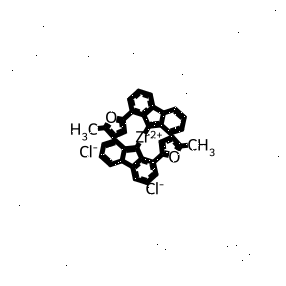 Cc1ccc(-c2cccc3c2[C]([Zr+2][C]2=C4C=CC=CC4c4cccc(-c5ccc(C)o5)c42)=C2C=CC=CC23)o1.[Cl-].[Cl-]